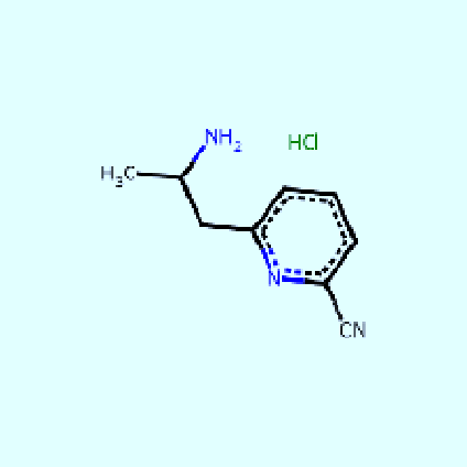 CC(N)Cc1cccc(C#N)n1.Cl